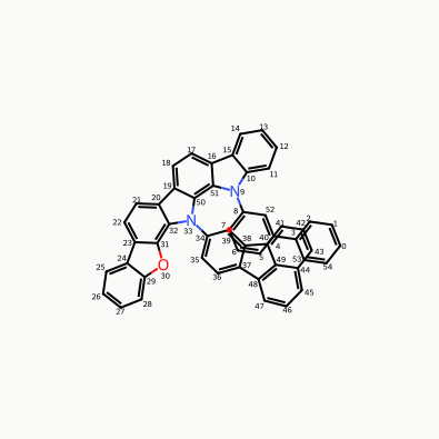 c1ccc(-c2cccc(-n3c4ccccc4c4ccc5c6ccc7c8ccccc8oc7c6n(-c6ccc7c(c6)-c6cccc8cccc-7c68)c5c43)c2)cc1